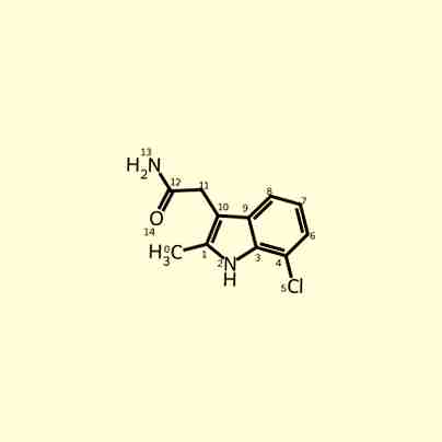 Cc1[nH]c2c(Cl)cccc2c1CC(N)=O